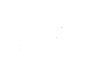 CN=[S@]1C[C@@](C)(c2cc(-c3cc(-c4ncc(Cl)cn4)no3)ccc2F)N=C(N)C1(C)C